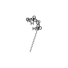 CCCCCCCCCCCCCCCCCNC(=O)OCC1CCC(COC(=O)NCc2ccccn2)O1